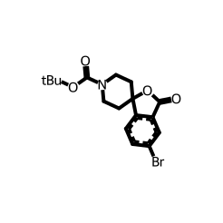 CC(C)(C)OC(=O)N1CCC2(CC1)OC(=O)c1cc(Br)ccc12